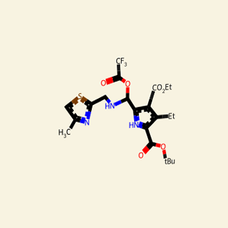 CCOC(=O)c1c(C(NCc2nc(C)cs2)OC(=O)C(F)(F)F)[nH]c(C(=O)OC(C)(C)C)c1CC